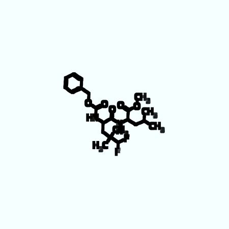 COC(=O)C(CC(C)C)NC(=O)C(CC(C)(C)C(F)F)NC(=O)OCc1ccccc1